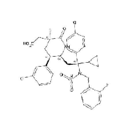 C[C@@]1(CC(=O)O)C[C@H](c2cccc(Cl)c2)[C@H](C[C@@](c2ccc(Cl)cc2)(C2CC2)N(Cc2ccccc2F)[SH](=O)=O)NC1=O